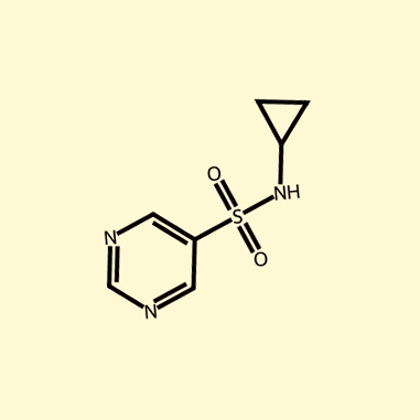 O=S(=O)(NC1CC1)c1cncnc1